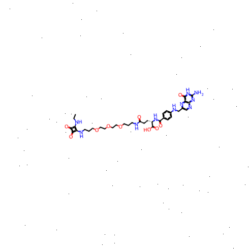 CCNc1c(NCCCOCCOCCOCCCNC(=O)CC[C@H](NC(=O)c2ccc(NCc3cnc4nc(N)[nH]c(=O)c4n3)cc2)C(=O)O)c(=O)c1=O